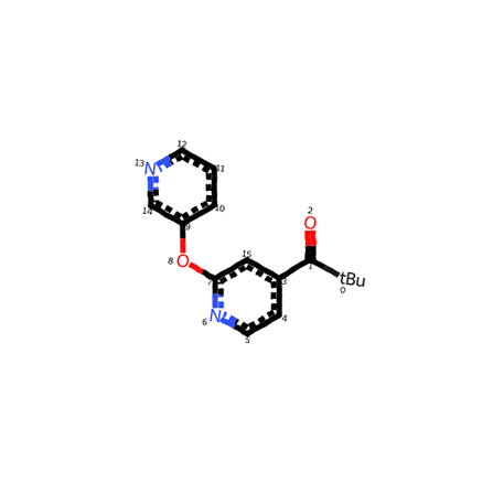 CC(C)(C)C(=O)c1ccnc(Oc2cccnc2)c1